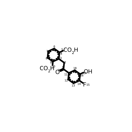 O=C(Cc1c(C(=O)O)cccc1C(=O)O)c1ccc(F)c(O)c1